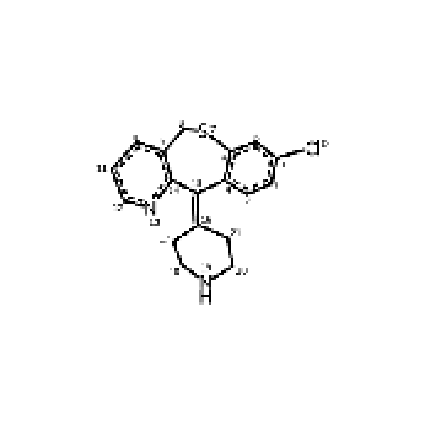 Clc1ccc2c(c1)SCc1cccnc1C2=C1CCNCC1